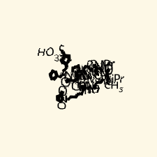 CC[C@H](C)[C@@H]([C@@H](CC(=O)N1CCC[C@H]1[C@H](OC)[C@@H](C)C(=O)N[C@H](CCc1ccc(S(=O)(=O)O)cc1)Cc1ccccc1)OC)N(C)C(=O)[C@@H](NC(=O)[C@H](C(C)C)N(C)CCCC(=O)NNC(=O)CCCCCN1C(=O)C=CC1=O)C(C)C